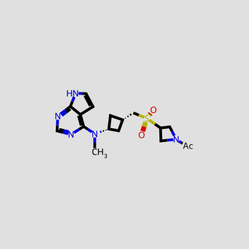 CC(=O)N1CC(S(=O)(=O)C[C@H]2C[C@@H](N(C)c3ncnc4[nH]ccc34)C2)C1